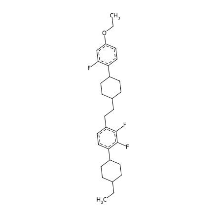 CCOc1ccc(C2CCC(CCc3ccc(C4CCC(CC)CC4)c(F)c3F)CC2)c(F)c1